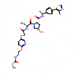 Cc1ncsc1-c1ccc([C@H](C)NC(=O)[C@@H]2C[C@@H](O)CN2C(=O)[C@@H](NC(=O)COc2ccc(OCCNC(=O)OC(C)(C)C)nc2)C(C)(C)C)cc1